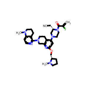 C=C(F)C(=O)N1CCN(c2cc(OC[C@@H]3CCCN3C)nc3c2CCN(c2nccc4c2CCCN4C)C3)C[C@@H]1CC#N